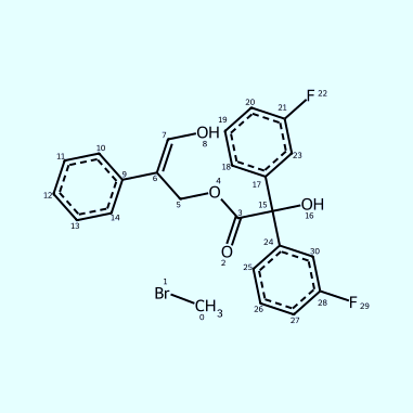 CBr.O=C(OCC(=CO)c1ccccc1)C(O)(c1cccc(F)c1)c1cccc(F)c1